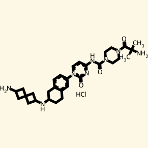 CC(C)(N)C(=O)N1CCN(C(=O)Nc2ccn(-c3ccc4c(c3)CCC(NC3CC5(CC(N)C5)C3)C4)c(=O)n2)CC1.Cl